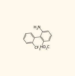 Nc1cccc(C(=O)O)c1-c1ccccc1C(F)(F)F